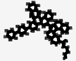 C=C/C=C\C=C(/C)c1ccc2ccc3c(c2c1)c1c2ccccc2ccc1n3-c1ccc(-c2nc3ccccc3nc2-c2cccc(-c3ccc(-c4ccccc4)cc3)c2)c2ccccc12